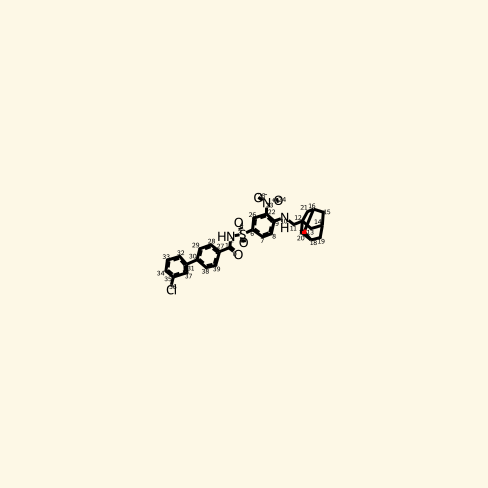 O=C(NS(=O)(=O)c1ccc(NCC23CC4CC(CC(C4)C2)C3)c([N+](=O)[O-])c1)c1ccc(-c2cccc(Cl)c2)cc1